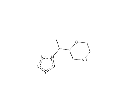 CC(C1CNCCO1)n1c[c]nn1